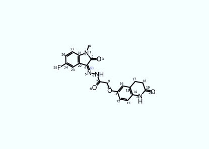 CN1C(=O)/C(=N\NC(=O)COc2ccc3c(c2)CCC(=O)N3)c2cc(F)ccc21